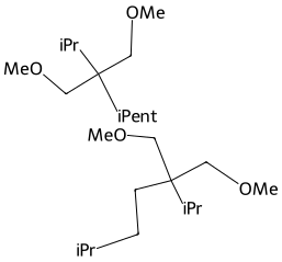 CCCC(C)C(COC)(COC)C(C)C.COCC(CCC(C)C)(COC)C(C)C